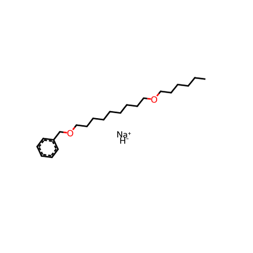 CCCCCCOCCCCCCCCCOCc1ccccc1.[H-].[Na+]